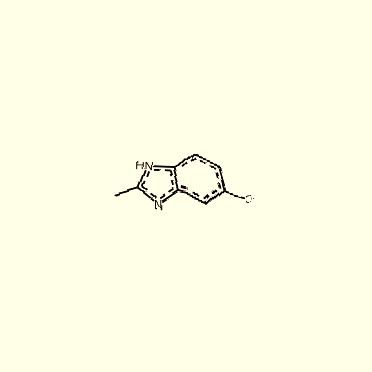 Cc1nc2cc([O])ccc2[nH]1